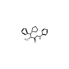 CN(C(=O)CNc1ccccc1)C(c1ccccc1)N1CCCC1